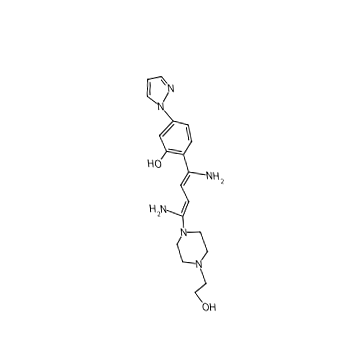 N/C(=C\C=C(/N)N1CCN(CCO)CC1)c1ccc(-n2cccn2)cc1O